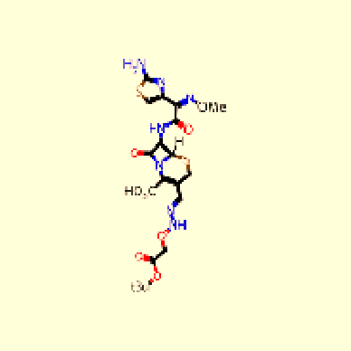 CO/N=C(\C(=O)NC1C(=O)N2C(C(=O)O)=C(C=NNOCC(=O)OC(C)(C)C)CS[C@@H]12)c1csc(N)n1